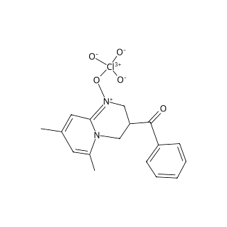 CC1=CC2=[N+](O[Cl+3]([O-])([O-])[O-])CC(C(=O)c3ccccc3)CN2C(C)=C1